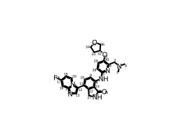 CN(C)Cc1nc(Nc2ccc(-c3cnc4cc(F)ccn34)c3c2C(=O)NC3)ccc1O[C@H]1CCOC1